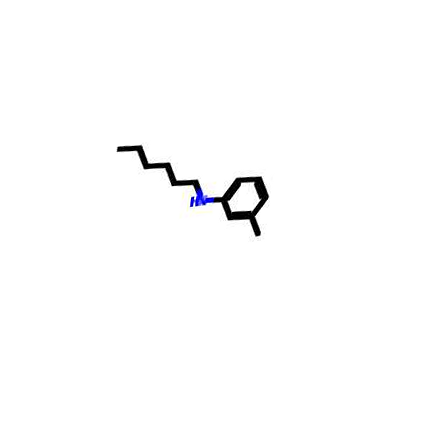 CCCCCCNc1cccc(C)c1